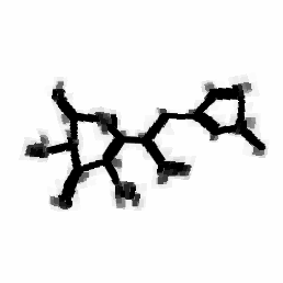 CCCCn1c(=O)[nH]c(C(Cc2cnn(C)c2)OC)c([N+](=O)[O-])c1=O